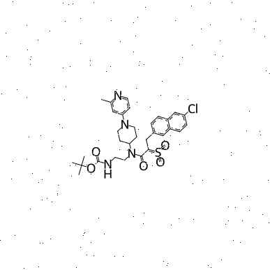 Cc1cc(N2CCC(N(CCNC(=O)OC(C)(C)C)C(=O)C(Cc3ccc4cc(Cl)ccc4c3)=S(=O)=O)CC2)ccn1